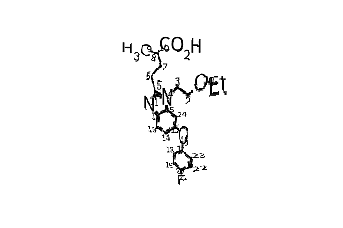 CCOCCn1c(CC[C@@H](C)C(=O)O)nc2ccc(Oc3ccc(F)cc3)cc21